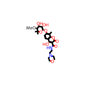 CO[C@@H]1[C@@H](O)[C@@H](O)[C@H](Oc2ccc3c(O)c(C(=O)NCCN4CCOCC4)c(=O)oc3c2C)OC1(C)C